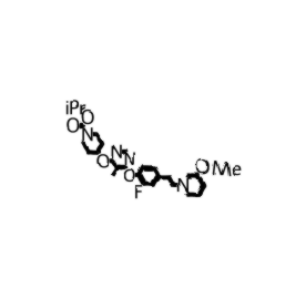 CO[C@@H]1CCCN(CCc2ccc(Oc3ncnc(OC4CCN(C(=O)OC(C)C)CC4)c3C)c(F)c2)C1